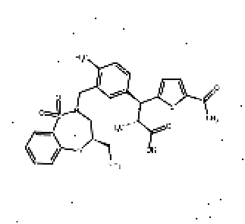 CC[C@@H]1CN(Cc2cc([C@@H](c3ccc(C(C)=O)s3)[C@@H](C)C(=O)O)ccc2C)S(=O)(=O)c2ccccc2O1